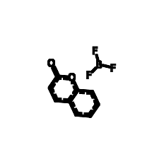 FB(F)F.O=c1ccc2ccccc2o1